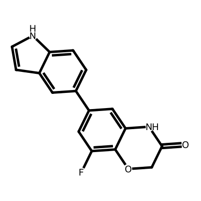 O=C1COc2c(F)cc(-c3ccc4[nH]ccc4c3)cc2N1